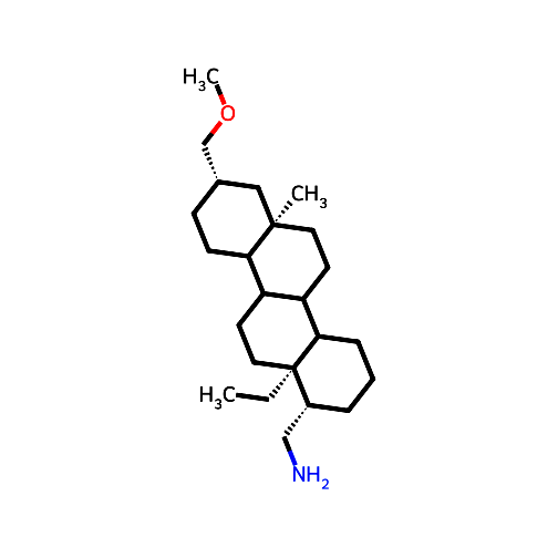 CC[C@]12CCC3C(CC[C@]4(C)C[C@@H](COC)CCC34)C1CCC[C@@H]2CN